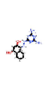 Nc1nc(N)nc(/N=N/c2c(O)cc(O)c3ccccc23)n1